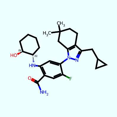 CC1(C)CCc2c(CC3CC3)nn(-c3cc(N[C@H]4CCCC[C@@H]4O)c(C(N)=O)cc3F)c2C1